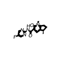 C[C@@H]1CCc2c1cc(C(=O)Nc1ncc(F)cn1)c(=O)n2C